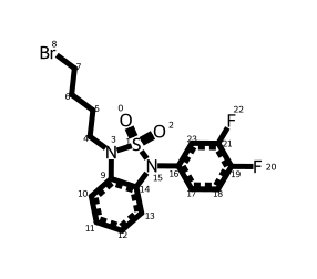 O=S1(=O)N(CCCCBr)c2ccccc2N1c1ccc(F)c(F)c1